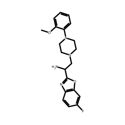 COc1ccccc1N1CCN(CC(N)c2nc3ccc(F)cc3o2)CC1